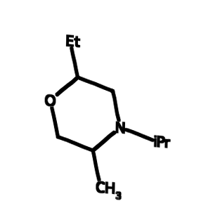 CCC1CN(C(C)C)C(C)CO1